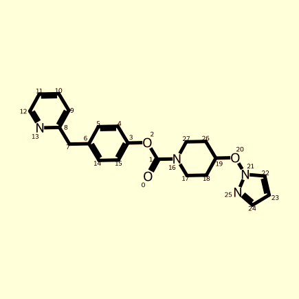 O=C(Oc1ccc(Cc2ccccn2)cc1)N1CCC(On2cccn2)CC1